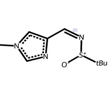 Cn1cnc(/C=N\[S+]([O-])C(C)(C)C)c1